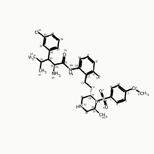 COc1ccc(S(=O)(=O)N2[C@@H](CCc3c(F)cccc3NC(=O)[C@@H](N)C(c3cccc(Cl)c3)C(C)C)CNC[C@@H]2C)cc1